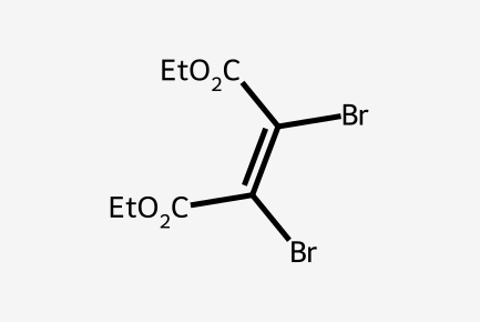 CCOC(=O)/C(Br)=C(/Br)C(=O)OCC